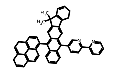 CC1(C)C2=C(CCC=C2)c2cc3c(-c4ccc(-c5ccccn5)nc4)c4ccccc4c(-c4ccc5c6c7c(ccc46)C=CCC7=CC5)c3cc21